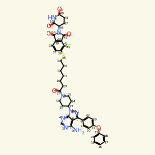 Nc1ncnc2c1c(-c1ccc(Oc3ccccc3)cc1)nn2C1CCN(C(=O)CCCCCCSc2ccc3c(c2F)C(=O)N(C2CCC(=O)NC2=O)C3=O)CC1